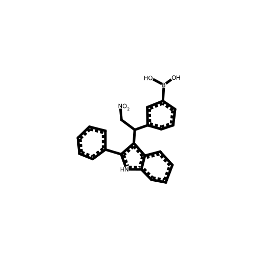 O=[N+]([O-])CC(c1cccc(B(O)O)c1)c1c(-c2ccccc2)[nH]c2ccccc12